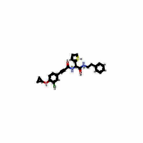 O=C(C#Cc1ccc(OC2CC2)c(Cl)c1)NC(C(=O)NCCc1ccccc1)c1cccs1